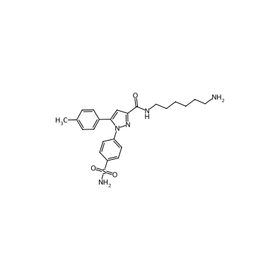 Cc1ccc(-c2cc(C(=O)NCCCCCCN)nn2-c2ccc(S(N)(=O)=O)cc2)cc1